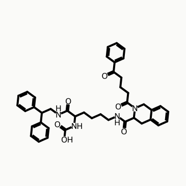 O=C(O)NC(CCCCNC(=O)C1Cc2ccccc2CN1C(=O)CCCC(=O)c1ccccc1)C(=O)NCC(c1ccccc1)c1ccccc1